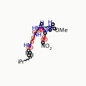 COc1ccc(C(NCCCC[C@H](NC(=O)[C@H](Cc2ccccc2)NC(=O)CCC(=O)NCCOCCOCCNC(=O)O[C@H]2CC[C@@]3(C)C(=CC[C@H]4C5CC[C@H]([C@H](C)CCCC(C)C)[C@@]5(C)CC[C@@H]43)C2)C(=O)Nc2ccc(COC(=O)Oc3ccc([N+](=O)[O-])cc3)cc2)(c2ccccc2)c2ccccc2)cc1